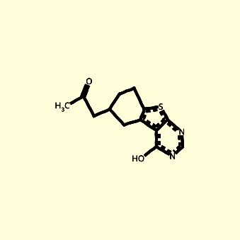 CC(=O)CC1CCc2sc3ncnc(O)c3c2C1